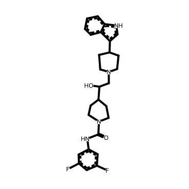 O=C(Nc1cc(F)cc(F)c1)N1CCC(C(O)CN2CCC(c3c[nH]c4ccccc34)CC2)CC1